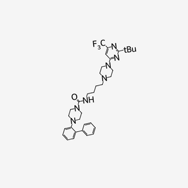 CC(C)(C)c1nc(N2CCN(CCCCNC(=O)N3CCN(c4ccccc4-c4ccccc4)CC3)CC2)cc(C(F)(F)F)n1